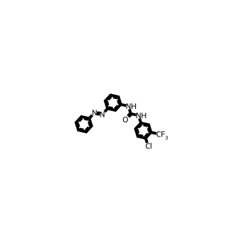 O=C(Nc1cccc(N=Nc2ccccc2)c1)Nc1ccc(Cl)c(C(F)(F)F)c1